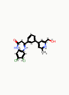 Cc1cc(-c2cccc(C3=Nc4cc(Cl)c(Cl)cc4NC(=O)C3)c2)cc(CO)n1